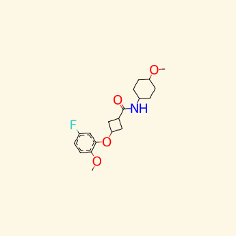 COc1ccc(F)cc1OC1CC(C(=O)NC2CCC(OC)CC2)C1